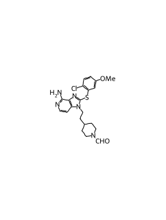 COc1ccc(Cl)c(Sc2nc3c(N)nccc3n2CCC2CCN(C=O)CC2)c1